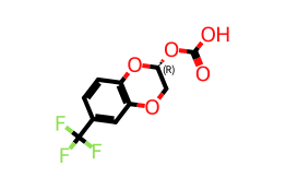 O=C(O)O[C@@H]1COc2cc(C(F)(F)F)ccc2O1